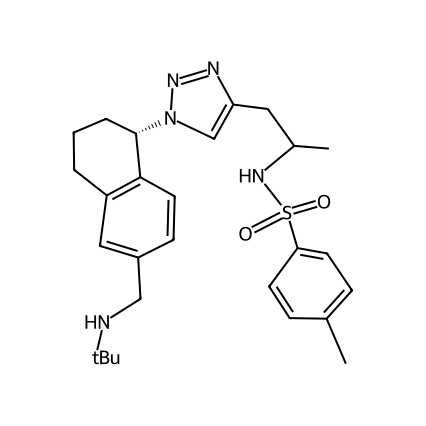 Cc1ccc(S(=O)(=O)NC(C)Cc2cn([C@H]3CCCc4cc(CNC(C)(C)C)ccc43)nn2)cc1